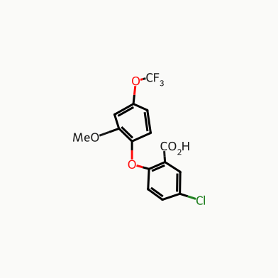 COc1cc(OC(F)(F)F)ccc1Oc1ccc(Cl)cc1C(=O)O